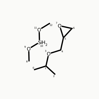 CC(C)OCC1CO1.CO[SiH2]OC